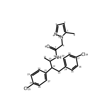 Cc1ccnn1CC(=O)NC(C)C(Cc1ccc(Cl)cc1)c1ccc(Cl)cc1